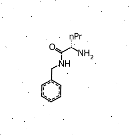 CCC[C@H](N)C(=O)NCc1ccccc1